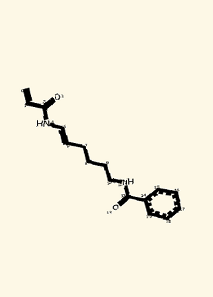 C=CC(=O)NC=CCCCCNC(=O)c1ccccc1